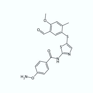 COc1cc(C)c(Sc2cnc(NC(=O)c3ccc(ON)cc3)s2)cc1C=O